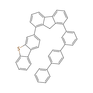 c1ccc(-c2ccc(-c3cccc(-c4cccc5c4Cc4c(-c6ccc7c(c6)sc6ccccc67)cccc4-5)c3)cc2)cc1